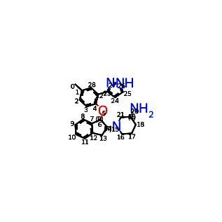 Cc1ccc(O[C@@H]2c3ccccc3C[C@H]2N2CCC[C@@H](N)C2)c(-c2cc[nH]n2)c1